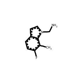 Cc1c(F)ccc2ccn(CN)c12